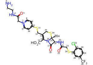 NCCNC(=O)C[n+]1ccc(SCC2=C(C(=O)O)N3C(=O)[C@H](NC(=O)CSc4cc(C(F)(F)F)ccc4Cl)[C@H]3SC2)cc1